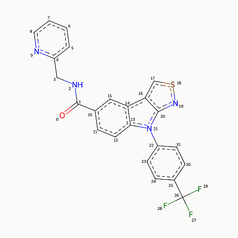 O=C(NCc1ccccn1)c1ccc2c(c1)c1csnc1n2-c1ccc(C(F)(F)F)cc1